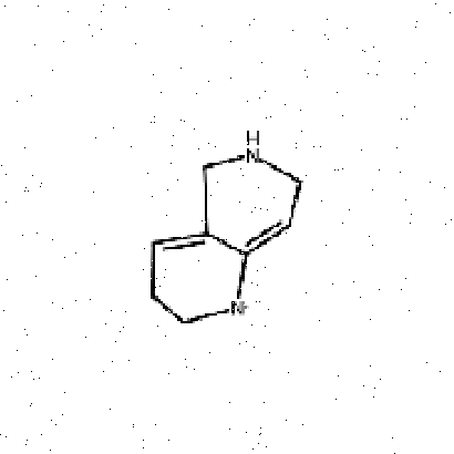 C1=C2CNCC=C2[N]CC1